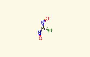 O=[N][Pd-]([Cl])[N]=O